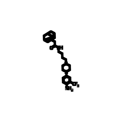 Nc1ccc(N2CCN(CCCCNC(=O)CC34CC5CC(CC(C5)C3)C4)CC2)cc1C(F)(F)F